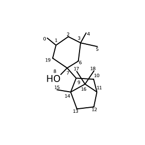 CC1CC(C)(C)CC(O)(C2CC3CCC2(C)C3(C)C)C1